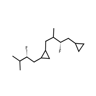 CC(C)[C@H](F)CC1CC1CC(C)[C@@H](F)CC1CC1